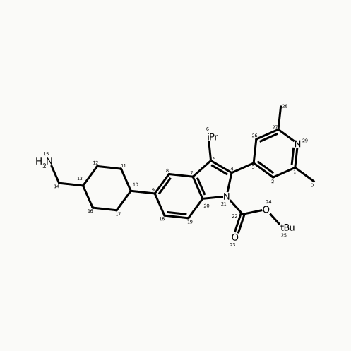 Cc1cc(-c2c(C(C)C)c3cc(C4CCC(CN)CC4)ccc3n2C(=O)OC(C)(C)C)cc(C)n1